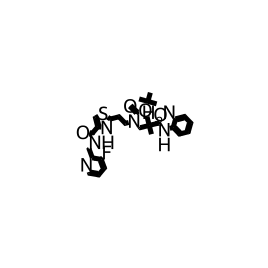 CC(C)(C)OC(=O)N(CCc1nc(C(=O)NCc2ncccc2F)cs1)CC(C)(C)C(=O)Nc1ccccc1N